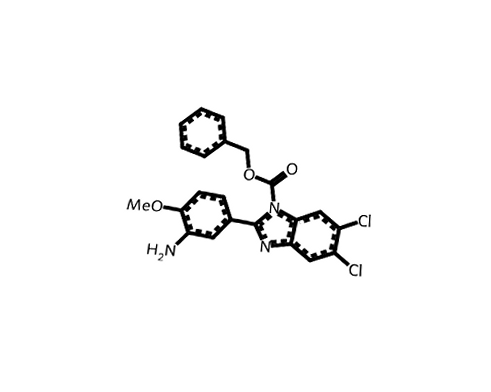 COc1ccc(-c2nc3cc(Cl)c(Cl)cc3n2C(=O)OCc2ccccc2)cc1N